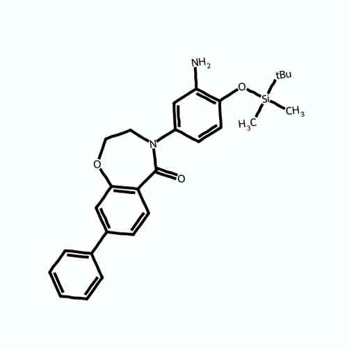 CC(C)(C)[Si](C)(C)Oc1ccc(N2CCOc3cc(-c4ccccc4)ccc3C2=O)cc1N